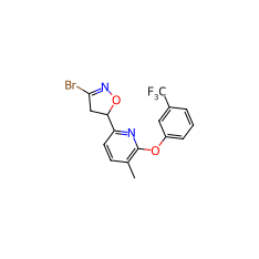 Cc1ccc(C2CC(Br)=NO2)nc1Oc1cccc(C(F)(F)F)c1